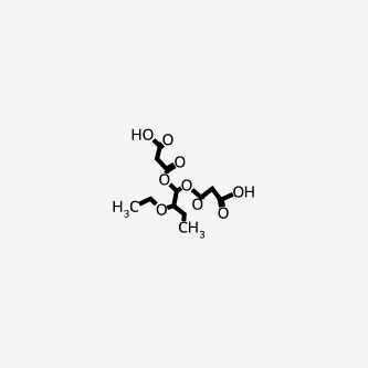 CCOC(CC)C(OC(=O)CC(=O)O)OC(=O)CC(=O)O